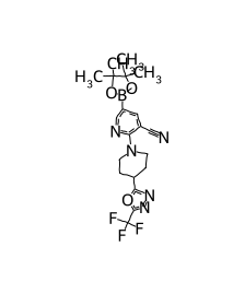 CC1(C)OB(c2cnc(N3CCC(c4nnc(C(F)(F)F)o4)CC3)c(C#N)c2)OC1(C)C